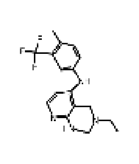 CCN1CNc2nccc(Nc3ccc(C)c(C(F)(F)F)c3)c2C1